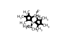 CC1=C(C)C(C)[C]([Zr+2]([C]2=C(C)C(C)=C(C)C2C)[SiH](C)C)=C1C.[F-].[F-]